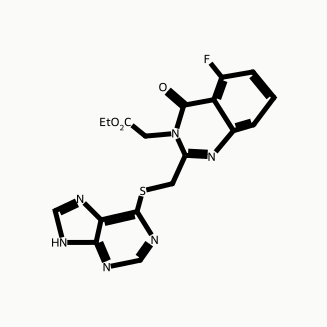 CCOC(=O)Cn1c(CSc2ncnc3[nH]cnc23)nc2cccc(F)c2c1=O